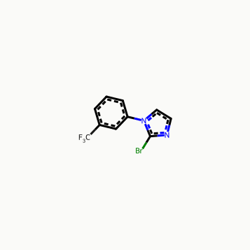 FC(F)(F)c1cccc(-n2ccnc2Br)c1